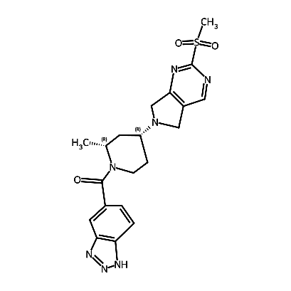 C[C@@H]1C[C@H](N2Cc3cnc(S(C)(=O)=O)nc3C2)CCN1C(=O)c1ccc2[nH]nnc2c1